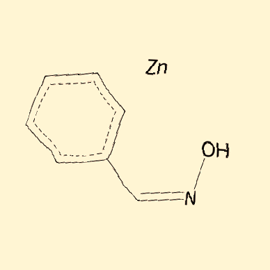 O/N=C\c1ccccc1.[Zn]